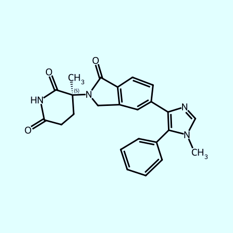 Cn1cnc(-c2ccc3c(c2)CN([C@@]2(C)CCC(=O)NC2=O)C3=O)c1-c1ccccc1